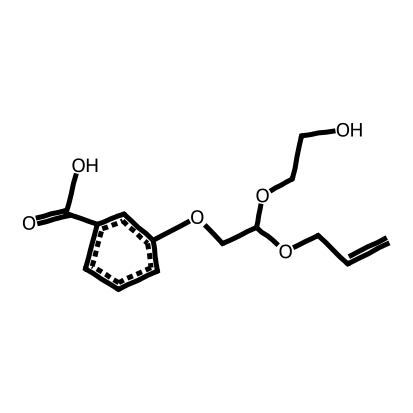 C=CCOC(COc1cccc(C(=O)O)c1)OCCO